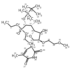 CCOP(=O)(OCC)[C@H](O[Si](C)(C)C(C)(C)C)[C@H](C)[C@H]1O[C@@H](n2cc(C)c(=O)[nH]c2=O)[C@H](OCCOC)[C@@H]1O